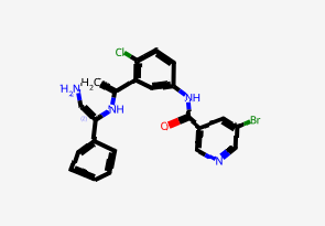 C=C(N/C(=C\N)c1ccccc1)c1cc(NC(=O)c2cncc(Br)c2)ccc1Cl